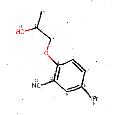 CC(O)COc1ccc(C(C)C)cc1C#N